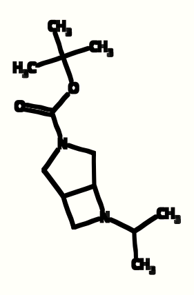 CC(C)N1CC2CN(C(=O)OC(C)(C)C)CC21